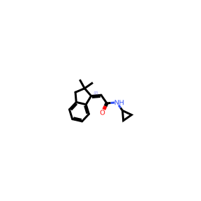 CC1(C)Cc2ccccc2/C1=C\C(=O)NC1CC1